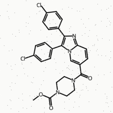 COC(=O)N1CCN(C(=O)c2ccc3nc(-c4ccc(Cl)cc4)c(-c4ccc(Cl)cc4)n3c2)CC1